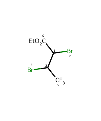 CCOC(=O)C(Br)C(Br)C(F)(F)F